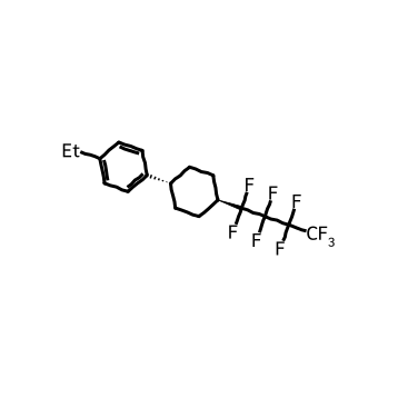 CCc1ccc([C@H]2CC[C@H](C(F)(F)C(F)(F)C(F)(F)C(F)(F)F)CC2)cc1